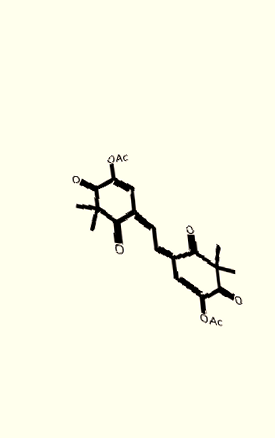 CC(=O)OC1=CC(=CC=C2C=C(OC(C)=O)C(=O)C(C)(C)C2=O)C(=O)C(C)(C)C1=O